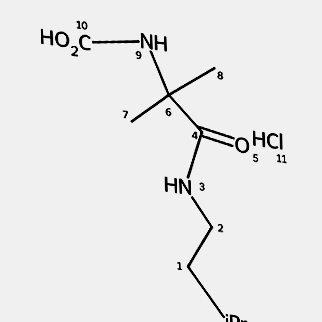 CC(C)CCNC(=O)C(C)(C)NC(=O)O.Cl